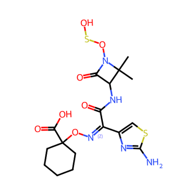 CC1(C)C(NC(=O)/C(=N\OC2(C(=O)O)CCCCC2)c2csc(N)n2)C(=O)N1OSO